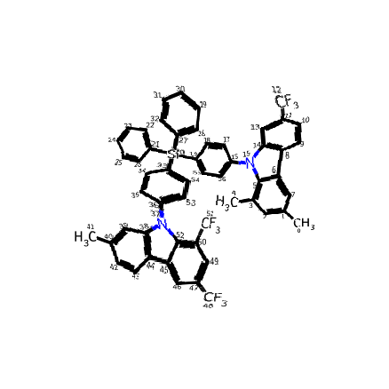 Cc1cc(C)c2c(c1)c1ccc(C(F)(F)F)cc1n2-c1ccc([Si](c2ccccc2)(c2ccccc2)c2ccc(-n3c4cc(C)ccc4c4cc(C(F)(F)F)cc(C(F)(F)F)c43)cc2)cc1